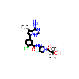 Nc1ncnn2c(-c3ccc(Cl)c(C(=O)N[C@@H]4CN(C(=O)CC(O)(C(F)(F)F)C(F)(F)F)C[C@@H]4F)c3)cc(C(F)(F)F)c12